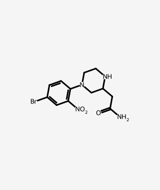 NC(=O)CC1CN(c2ccc(Br)cc2[N+](=O)[O-])CCN1